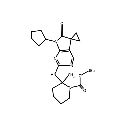 CC(C)(C)OC(=O)N1CCCCC1(C)Nc1ncc2c(n1)N(C1CCCC1)C(=O)C21CC1